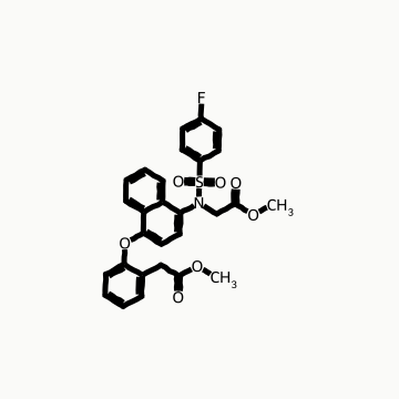 COC(=O)Cc1ccccc1Oc1ccc(N(CC(=O)OC)S(=O)(=O)c2ccc(F)cc2)c2ccccc12